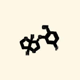 O=Nc1ccc(F)cc1O[C@@H]1CO[C@@H]2CCO[C@@H]21